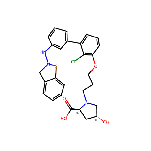 O=C(O)[C@@H]1C[C@@H](O)CN1CCCOc1cccc(-c2cccc(NN3Cc4ccccc4S3)c2)c1Cl